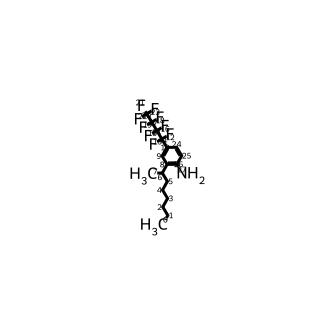 CCCCCCC(C)c1cc(C(F)(F)C(F)(F)C(F)(F)C(F)(F)F)ccc1N